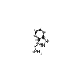 PCn1nnc2ccccc21